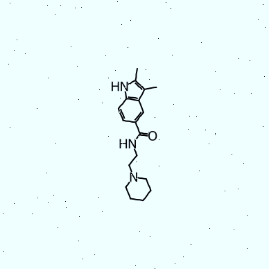 Cc1[nH]c2ccc(C(=O)NCCN3CCCCC3)cc2c1C